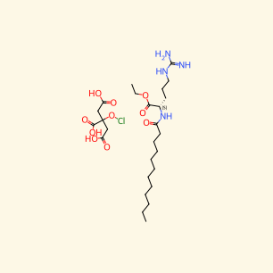 CCCCCCCCCCCC(=O)N[C@@H](CCCNC(=N)N)C(=O)OCC.O=C(O)CC(CC(=O)O)(OCl)C(=O)O